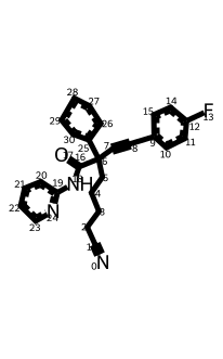 N#CCCCCC(C#Cc1ccc(F)cc1)(C(=O)Nc1ccccn1)c1ccccc1